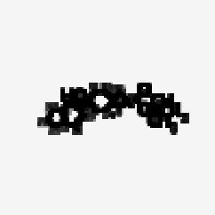 CC(C)(C)OC(=O)N1CC2(CCC(O)(c3ccc4c(c3)CCC4)CC2)C1